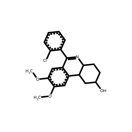 COc1cc2c(cc1OC)C1CC(O)CCC1N=C2c1ccccc1Cl